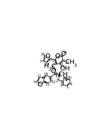 CN(Cc1ccccn1)C(=O)c1ccc2occc2c1.Cc1c(-c2ccco2)oc(=O)c(C)c1O